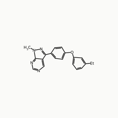 CCc1cccc(Oc2ccc(-c3nn(C)c4ncncc34)cc2)c1